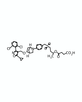 CC(CCS(=O)(=O)Cc1ccc(N2C[C@@H]3C[C@H]2C[C@H]3OCc2c(-c3c(Cl)cccc3Cl)noc2C2CC2)cc1)OC(=O)CCC(=O)O